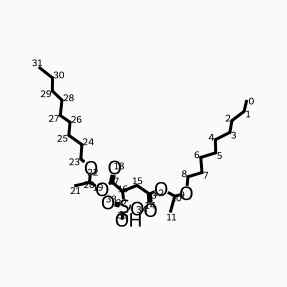 CCCCCCCCCOC(C)OC(=O)CC(C(=O)OC(C)OCCCCCCCCC)S(=O)(=O)O